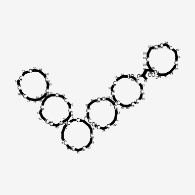 C1CCCCCCCCCCCCCCCC1.C1CCCCCCCCCCCCCCCC1.C1CCCCCCCCCCCCCCCC1.C1CCCCCCCCCCCCCCCC1.C1CCCCCCCCCCCCCCCC1.CC(=CC1(C(=O)O)CCCCCCCCCCCCCCCC1)C(=O)O